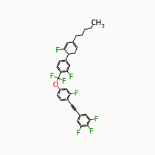 CCCCCC1=CCC(c2ccc(C(F)(F)Oc3ccc(C#Cc4cc(F)c(F)c(F)c4)c(F)c3)c(F)c2)C(F)=C1